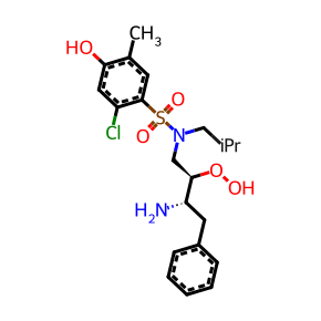 Cc1cc(S(=O)(=O)N(CC(C)C)C[C@@H](OO)[C@@H](N)Cc2ccccc2)c(Cl)cc1O